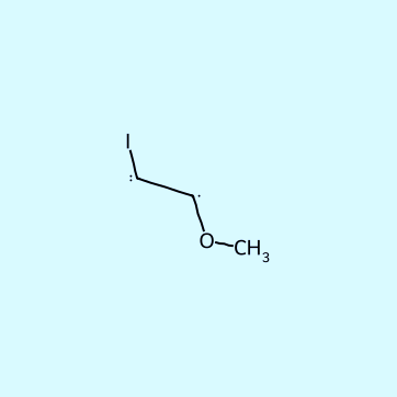 CO[CH][C]I